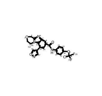 C[C@@H]1COCc2nc3cc(C(=O)Nc4ccc(OC(F)(F)Cl)cc4)cc(-c4cnoc4)c3n21